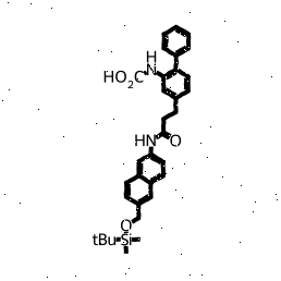 CC(C)(C)[Si](C)(C)OCc1ccc2cc(NC(=O)CCc3ccc(-c4ccccc4)c(NC(=O)O)c3)ccc2c1